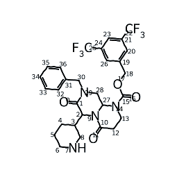 O=C1C(C2CCCNC2)N2C(=O)CCN(C(=O)OCc3cc(C(F)(F)F)cc(C(F)(F)F)c3)C2CN1Cc1ccccc1